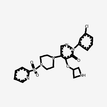 O=c1c(OC2CNC2)c(N2CCN(S(=O)(=O)c3ccccn3)CC2)cnn1-c1cccc(Cl)c1